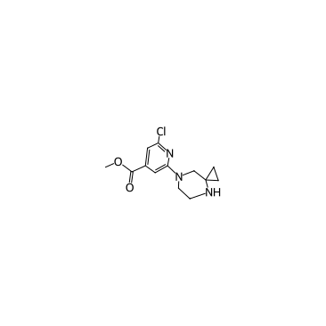 COC(=O)c1cc(Cl)nc(N2CCNC3(CC3)C2)c1